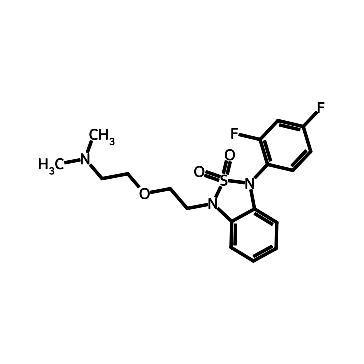 CN(C)CCOCCN1c2ccccc2N(c2ccc(F)cc2F)S1(=O)=O